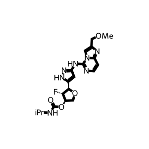 COCc1cn2c(Nc3cc([C@H]4OC[C@@H](OC(=O)NC(C)C)[C@@H]4F)[nH]n3)nccc2n1